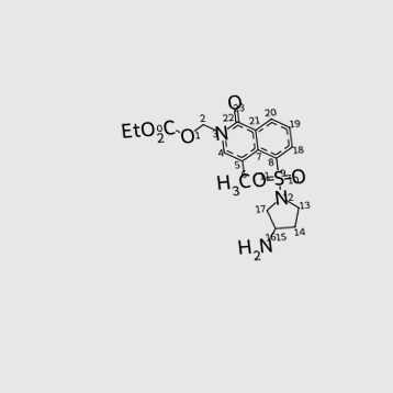 CCOC(=O)OCn1cc(C)c2c(S(=O)(=O)N3CCC(N)C3)cccc2c1=O